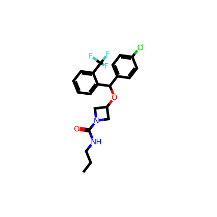 CCCNC(=O)N1CC(OC(c2ccc(Cl)cc2)c2ccccc2C(F)(F)F)C1